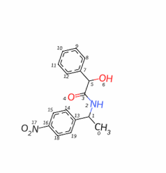 CC(NC(=O)C(O)c1ccccc1)c1ccc([N+](=O)[O-])cc1